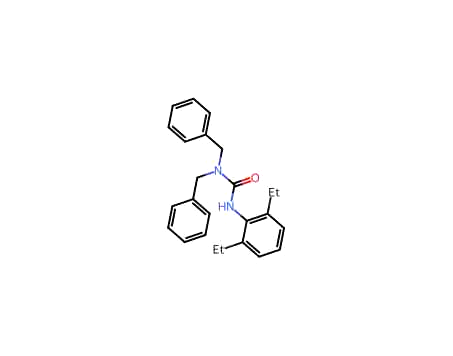 CCc1cccc(CC)c1NC(=O)N(Cc1ccccc1)Cc1ccccc1